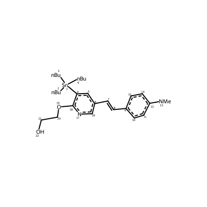 CCC[CH2][Sn]([CH2]CCC)([CH2]CCC)[c]1cc(/C=C/c2ccc(NC)cc2)cnc1OCCO